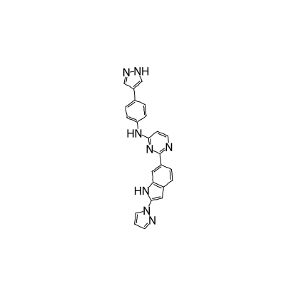 c1cnn(-c2cc3ccc(-c4nccc(Nc5ccc(-c6cn[nH]c6)cc5)n4)cc3[nH]2)c1